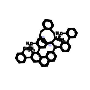 C=C1Cc2ccccc2C/C=C\C=C/1N(c1ccc2ccc3cc(-c4ccccc4C)c(C)c(-c4ccccc4C)c3c2c1)c1cccc(-c2ccccc2C)c1C